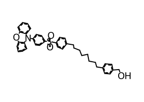 O=S(=O)(c1ccc(CCCCCCCCc2ccc(CO)cc2)cc1)c1ccc(N2c3ccccc3Oc3ccccc32)cc1